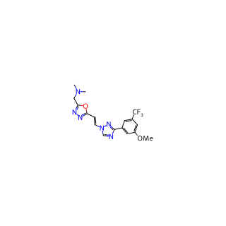 COc1cc(-c2ncn(C=Cc3nnc(CN(C)C)o3)n2)cc(C(F)(F)F)c1